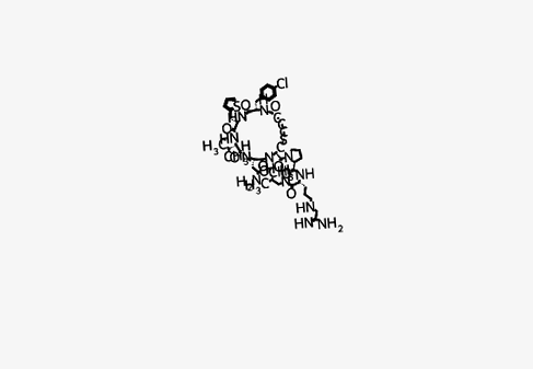 CC(C)CNC(=O)[C@@H](CCCNCC(=N)N)NC(=O)[C@@H]1CCCN1C(=O)[C@@H]1CSCCCC(=O)N[C@@H](Cc2ccc(Cl)cc2)C(=O)N[C@@H](Cc2cccs2)C(=O)N[C@@H](C(C)C)C(=O)N[C@@H](CC(N)=O)C(=O)N1